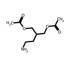 CC(=O)OCC(CCN)COC(C)=O